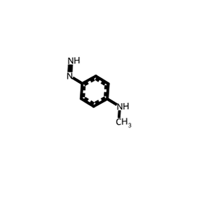 CNc1ccc(N=N)cc1